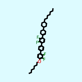 CCCCCCCOc1ccc(-c2ccc(-c3ccc(C4=CCC(C5CCC(CCCCCCC)CC5)CC4)c(F)c3F)cc2)c(F)c1F